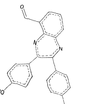 O=Cc1cccc2nc(-c3ccc(O)cc3)c(-c3ccc(O)cc3)nc12